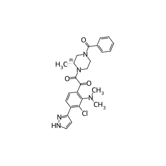 C[C@@H]1CN(C(=O)c2ccccc2)CCN1C(=O)C(=O)c1ccc(-c2cc[nH]n2)c(Cl)c1N(C)C